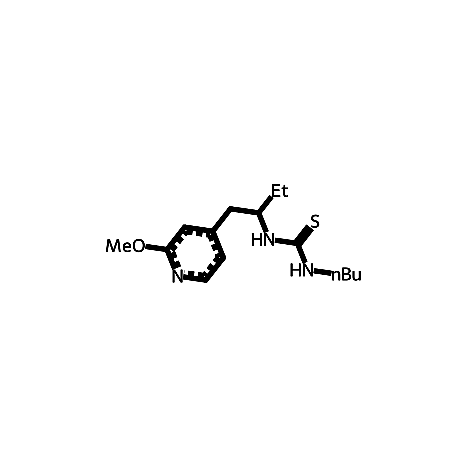 CCCCNC(=S)NC(CC)Cc1ccnc(OC)c1